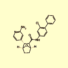 Nc1cc([C@@H]2[C@@H](C(=O)Nc3ccc(-c4ccccc4)c(Cl)c3)[C@H]3CC[C@@H]2O3)ccn1